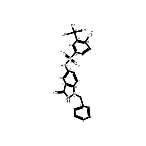 O=c1[nH]n(Cc2ccccc2)c2ccc(NS(=O)(=O)c3ccc(Cl)c(C(F)(F)F)c3)cc12